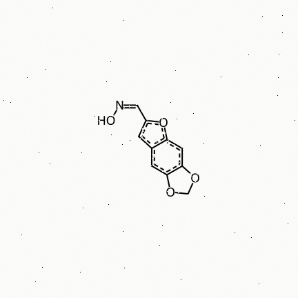 O/N=C\c1cc2cc3c(cc2o1)OCO3